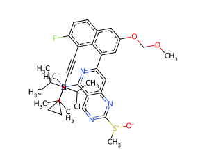 COCOc1cc(-c2cc3nc([S+](C)[O-])ncc3c(N(C)C3CC3)n2)c2c(C#C[Si](C(C)C)(C(C)C)C(C)C)c(F)ccc2c1